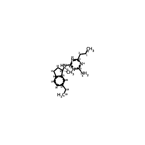 CCCc1nc(N)nc(N[C@]2(C)CCc3ccc(CC)cc32)n1